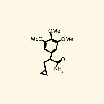 COc1cc(C(CC2CC2)C(N)=O)cc(OC)c1OC